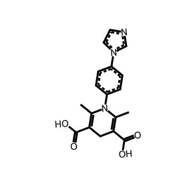 CC1=C(C(=O)O)CC(C(=O)O)=C(C)N1c1ccc(-n2ccnc2)cc1